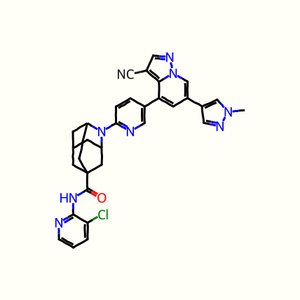 Cn1cc(-c2cc(-c3ccc(N4C5CC6CC4CC(C(=O)Nc4ncccc4Cl)(C6)C5)nc3)c3c(C#N)cnn3c2)cn1